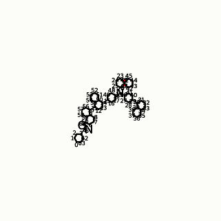 c1ccc(-c2nc3ccc4c(-c5ccc(-c6ccc(N(c7ccccc7)c7ccc(-c8cccc9ccccc89)cc7-c7ccccc7)cc6)c6ccccc56)cccc4c3o2)cc1